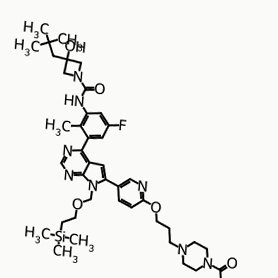 Cc1c(NC(=O)N2CC(O)(CC(C)(C)C)C2)cc(F)cc1-c1ncnc2c1cc(-c1ccc(OCCCN3CCN(C(=O)O)CC3)nc1)n2COCC[Si](C)(C)C